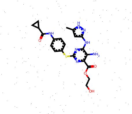 Cc1cc(Nc2nc(Sc3ccc(NC(=O)C4CC4)cc3)nc(C(=O)OCCO)c2N)n[nH]1